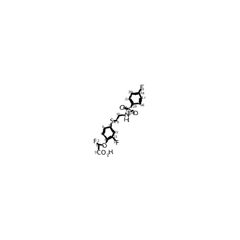 O=C(O)C(F)Oc1ccc(SCCNS(=O)(=O)c2ccc(F)cc2)cc1F